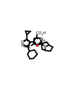 Cc1cc(C(=O)O)nc(N2C3CCC2CC(C)(OCc2c(C4CCCCC4)noc2C2CC2)C3)n1